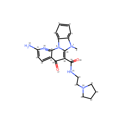 Cn1c2ccccc2n2c3nc(N)ccc3c(=O)c(C(=O)NCCN3CCCC3)c12